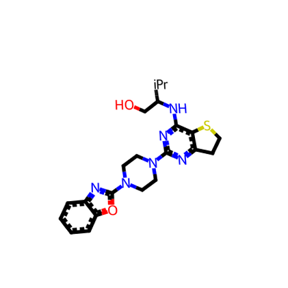 CC(C)C(CO)Nc1nc(N2CCN(c3nc4ccccc4o3)CC2)nc2c1SCC2